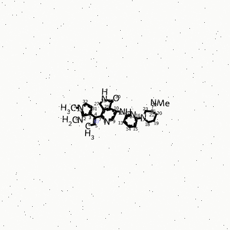 C=Nc1c(/C(=C\C)c2ncc(Nc3cccc(N4CCC[C@@H](NC)C4)n3)c3c2CNC3=O)ccn1C